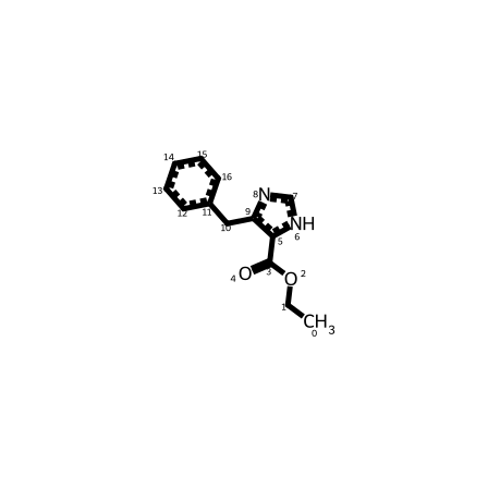 CCOC(=O)c1[nH]cnc1Cc1ccccc1